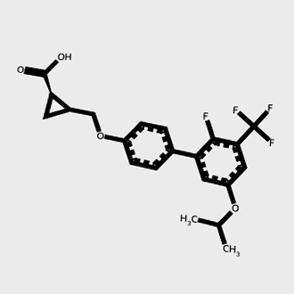 CC(C)Oc1cc(-c2ccc(OCC3C[C@H]3C(=O)O)cc2)c(F)c(C(F)(F)F)c1